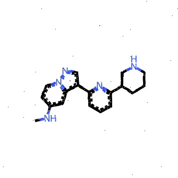 CNc1ccn2ncc(-c3cccc(C4CCCNC4)n3)c2c1